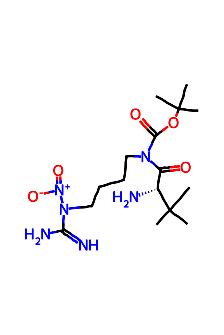 CC(C)(C)OC(=O)N(CCCCN(C(=N)N)[N+](=O)[O-])C(=O)[C@@H](N)C(C)(C)C